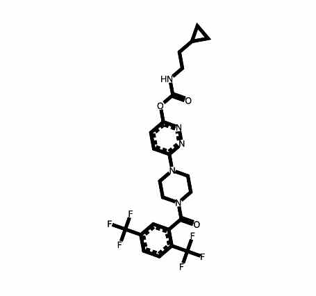 O=C(NCCC1CC1)Oc1ccc(N2CCN(C(=O)c3cc(C(F)(F)F)ccc3C(F)(F)F)CC2)nn1